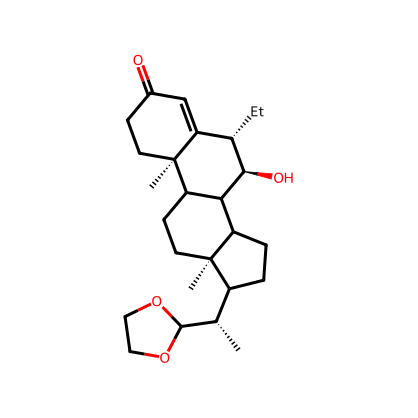 CC[C@H]1C2=CC(=O)CC[C@]2(C)C2CC[C@@]3(C)C(CCC3[C@H](C)C3OCCO3)C2[C@@H]1O